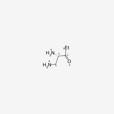 CCC(=O)[C@@H](N)CN